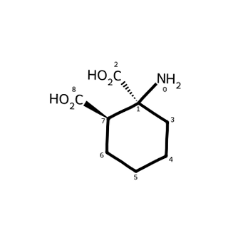 N[C@@]1(C(=O)O)CCCC[C@H]1C(=O)O